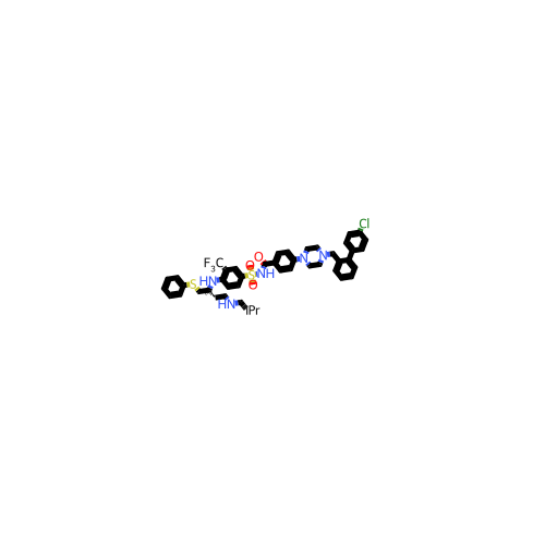 CC(C)CNCC[C@H](CSc1ccccc1)Nc1ccc(S(=O)(=O)NC(=O)c2ccc(N3CCN(Cc4ccccc4-c4ccc(Cl)cc4)CC3)cc2)cc1C(F)(F)F